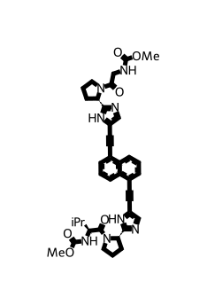 COC(=O)NCC(=O)N1CCC[C@H]1c1ncc(C#Cc2cccc3c(C#Cc4cnc([C@@H]5CCCN5C(=O)[C@@H](NC(=O)OC)C(C)C)[nH]4)cccc23)[nH]1